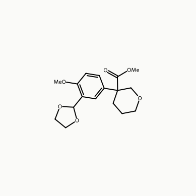 COC(=O)C1(c2ccc(OC)c(C3OCCO3)c2)CCCOC1